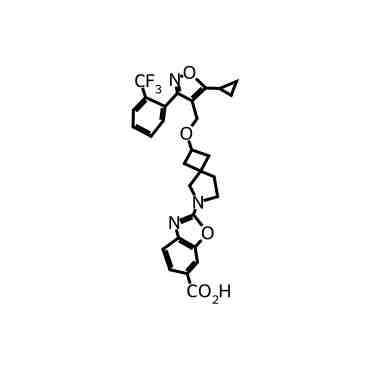 O=C(O)c1ccc2nc(N3CCC4(CC(OCc5c(-c6ccccc6C(F)(F)F)noc5C5CC5)C4)C3)oc2c1